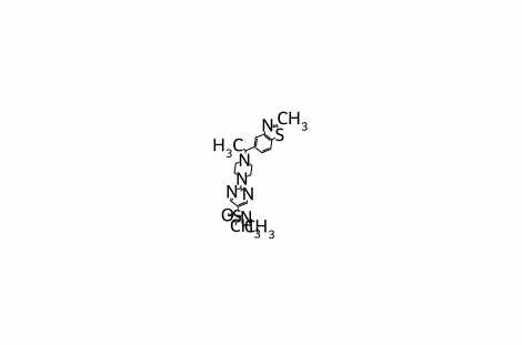 CN=S(C)(=O)c1cnc(N2CCN(C(C)c3ccc4sc(C)nc4c3)CC2)nc1